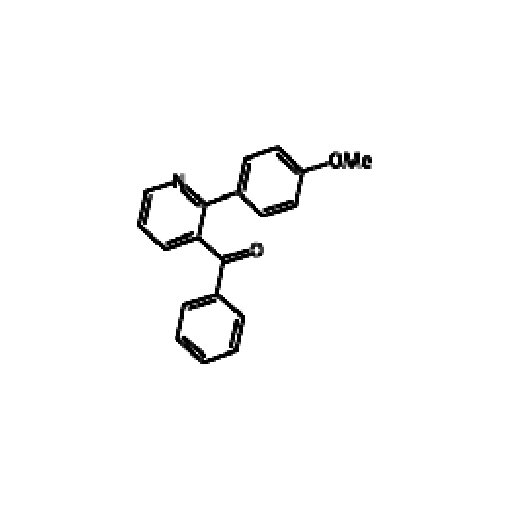 COc1ccc(-c2ncccc2C(=O)c2ccccc2)cc1